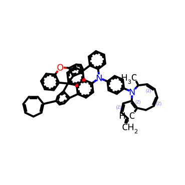 C=C/C=C\C1=C(/C)C/C=C\C=C/C(C)N1c1ccc(N(c2ccc3c(c2)C2(c4ccccc4Oc4ccccc42)c2cc(C4=CCC=CC=C4)ccc2-3)c2ccccc2-c2ccccc2)cc1